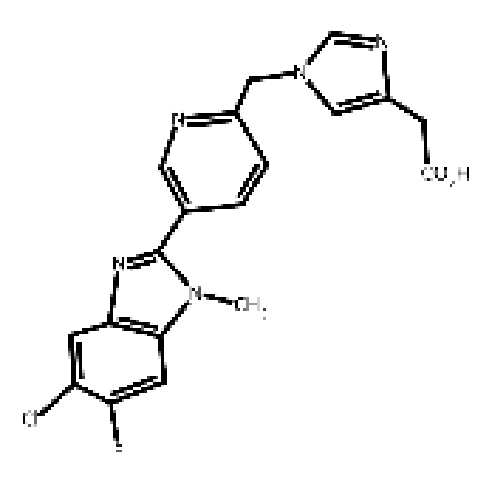 Cn1c(-c2ccc(Cn3cnc(CC(=O)O)c3)nc2)nc2cc(Cl)c(F)cc21